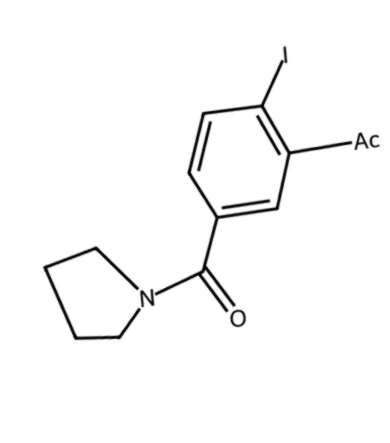 CC(=O)c1cc(C(=O)N2CCCC2)ccc1I